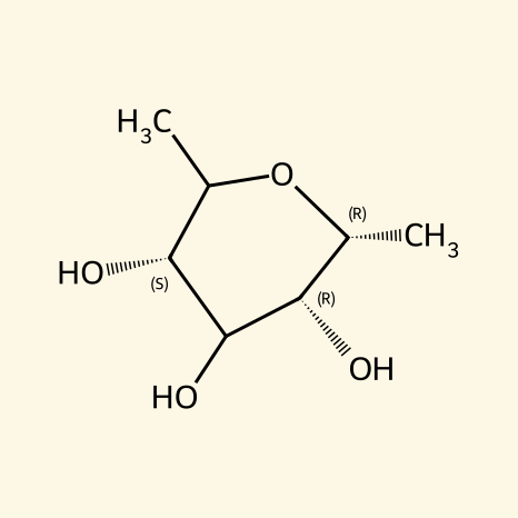 CC1O[C@H](C)[C@H](O)C(O)[C@@H]1O